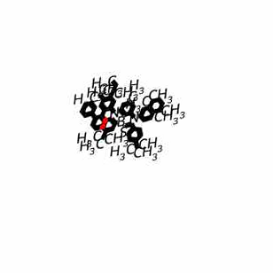 CCC(C)(C)c1cc(N2c3ccc(C(C)(C)C)cc3B3c4sc5cc(C(C)(C)C)ccc5c4N(c4ccc5c(c4)C(C)(C)CCC5(C)C)c4cc(C)cc2c43)c(-c2ccccc2-c2ccccc2)cc1C(C)C